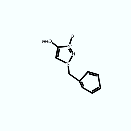 COc1cn(Cc2ccccc2)n[n+]1[O-]